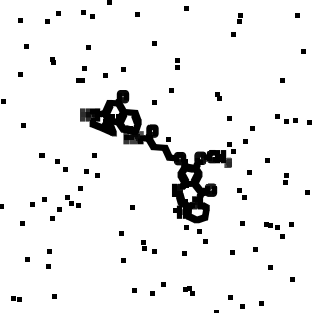 COc1cc2c(cc1OCCCC(=O)Nc1ccc3c(c1)C14CC1CNC4=CC3=O)N=C[C@@H]1CCCCN1C2=O